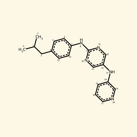 CC(C)Cc1ccc(Nc2ncc(Nc3cccnc3)cn2)cc1